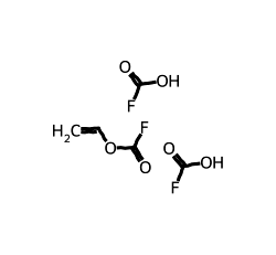 C=COC(=O)F.O=C(O)F.O=C(O)F